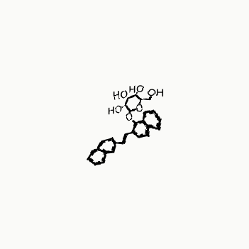 OC[C@H]1OC(Oc2c(/C=C/c3ccc4ccccc4c3)ccc3ccccc23)[C@H](O)[C@@H](O)[C@@H]1O